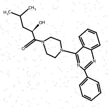 CC(C)C[C@@H](O)C(=O)N1CCN(c2nc(-c3ccccc3)nc3ccccc23)CC1